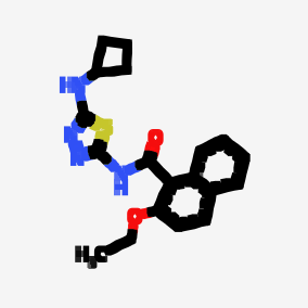 CCOc1ccc2ccccc2c1C(=O)Nc1nnc(NC2CCC2)s1